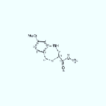 COc1ccc2c(c1)NCC(C(=O)OC(C)(C)C)CC2